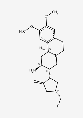 COc1cc2c(cc1OC)[C@@H]1C[C@H](N)[C@@H](N3C[C@H](CF)CC3=O)CN1CC2